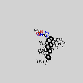 C=C(C)[C@@H]1CC[C@]2(NCCNS(=O)(=O)CC)CC[C@]3(C)[C@H](CC[C@@H]4[C@@]5(C)CC=C(c6ccc(C(=O)O)cc6)C(C)(C)[C@@H]5CC[C@]43C)[C@@H]12